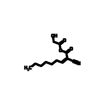 CCCCCCC=C(C#N)C(=O)OC(=O)CO